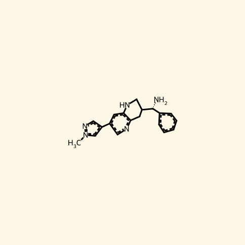 Cn1cc(-c2cnc3c(c2)NCC([C@H](N)c2ccccc2)C3)cn1